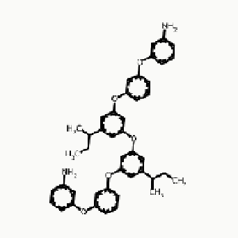 CCC(C)c1cc(Oc2cccc(Oc3cccc(N)c3)c2)cc(Oc2cc(Oc3cccc(Oc4cccc(N)c4)c3)cc(C(C)CC)c2)c1